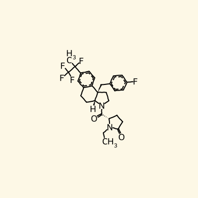 CCN1C(=O)CC[C@H]1C(=O)N1CC[C@@]2(Cc3ccc(F)cc3)c3ccc(C(C)(F)C(F)(F)F)cc3CC[C@@H]12